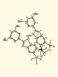 CC(C)(C)c1cc(C2=Cc3cc4c(cc3[CH]2[Hf][CH]2C(c3cc(C(C)(C)C)cc(C(C)(C)C)c3)=Cc3cc5c(cc32)C(C)(C)CCC5(C)C)C(C)(C)CCC4(C)C)cc(C(C)(C)C)c1